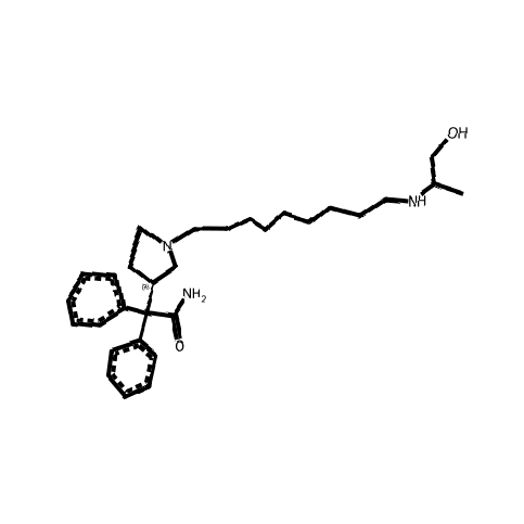 CC(CO)NCCCCCCCCCN1CC[C@H](C(C(N)=O)(c2ccccc2)c2ccccc2)C1